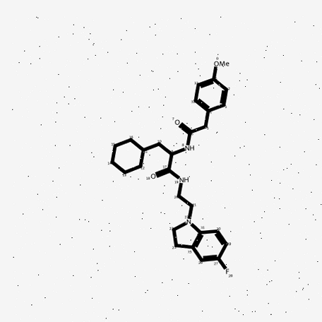 COc1ccc(CC(=O)NC(CC2CCCCC2)C(=O)NCCN2CCc3cc(F)ccc32)cc1